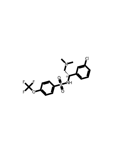 CN(C)C[C@@H](NS(=O)(=O)c1ccc(OC(F)(F)F)cc1)c1cccc(Cl)c1